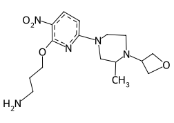 CC1CN(c2ccc([N+](=O)[O-])c(OCCCN)n2)CCN1C1COC1